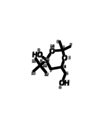 CC1(C)OC(CO)C[Si](O)(C(C)(C)C)O1